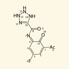 CC(=O)C1=CC(F)=CC(=NC(=O)C2=NNNN2)C1=O